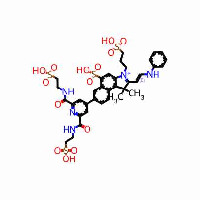 CC1(C)C(/C=C/Nc2ccccc2)=[N+](CCCS(=O)(=O)O)c2cc(S(=O)(=O)O)c3cc(-c4cc(C(=O)NCCS(=O)(=O)O)nc(C(=O)NCCS(=O)(=O)O)c4)ccc3c21